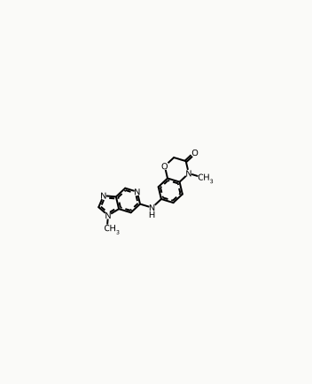 CN1C(=O)COc2cc(Nc3cc4c(cn3)ncn4C)ccc21